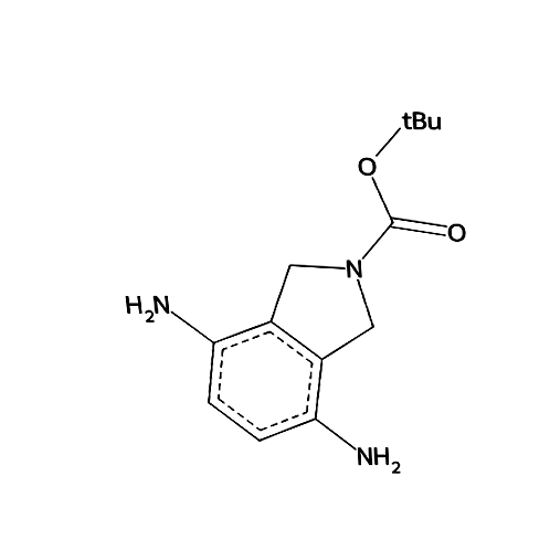 CC(C)(C)OC(=O)N1Cc2c(N)ccc(N)c2C1